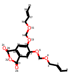 CC=CCOCOc1cc2c(cc1OCOCC=CC)C(=O)OC2=O